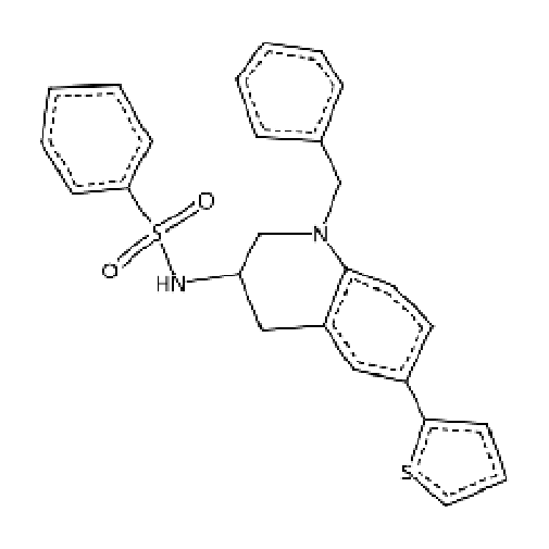 O=S(=O)(NC1Cc2cc(-c3cccs3)ccc2N(Cc2ccccc2)C1)c1ccccc1